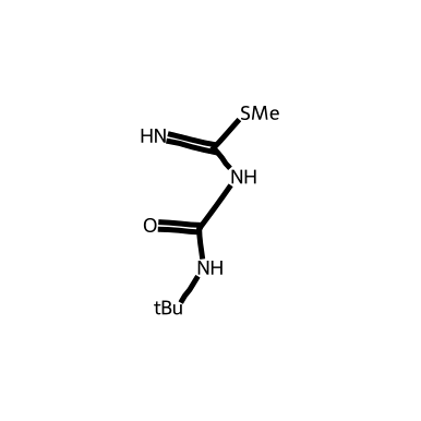 CSC(=N)NC(=O)NC(C)(C)C